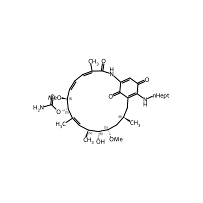 CCCCCCCNC1=C2C[C@@H](C)C[C@H](OC)[C@H](O)[C@@H](C)C=C(C)[C@H](OC(N)=O)[C@@H](OC)C=CC=C(C)C(=O)NC(=CC1=O)C2=O